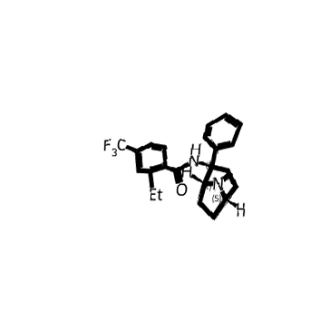 CCc1cc(C(F)(F)F)ccc1C(=O)N[C@@]1(c2ccccc2)CC[C@@H]2CC[C@H]1N2C